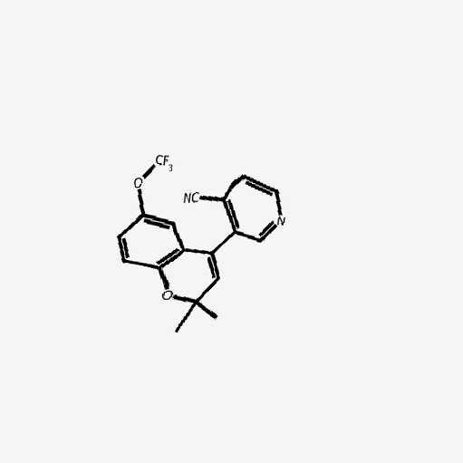 CC1(C)C=C(c2cnccc2C#N)c2cc(OC(F)(F)F)ccc2O1